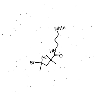 CNCCCNC(=O)C(C)(C)CC(C)(Br)C(C)=O